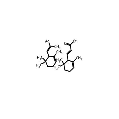 CC(=O)C(C)=CC1C(C)=CCCC1(C)C.CCC(=O)C=CC1C(C)=CCCC1(C)C